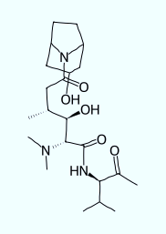 CC(=O)[C@H](NC(=O)[C@@H]([C@H](O)[C@H](C)CC(=O)N1C2CCC1CC(O)C2)N(C)C)C(C)C